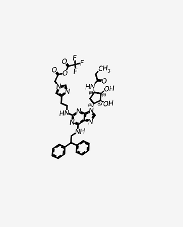 CCC(=O)N[C@H]1C[C@@H](n2cnc3c(NCC(c4ccccc4)c4ccccc4)nc(NCCc4cn(CC(=O)OC(=O)C(F)(F)F)cn4)nc32)[C@H](O)[C@@H]1O